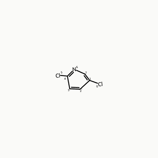 Clc1[c]cc(Cl)nc1